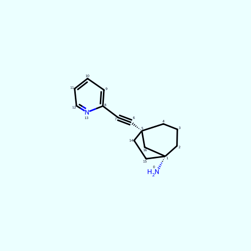 N[C@]12CCC[C@](C#Cc3ccccn3)(CC1)C2